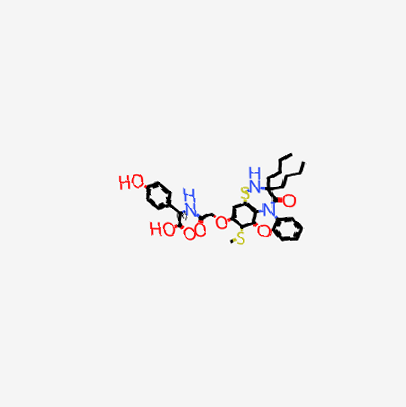 CCCCC1(CCCC)NSC2=C(C(=O)C(SC)C(OCC(=O)N[C@@H](C(=O)O)c3ccc(O)cc3)=C2)N(c2ccccc2)C1=O